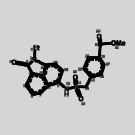 CCN1C(=O)c2cccc3c(NS(=O)(=O)Cc4ccc(C(=O)OC)cc4)ccc1c23